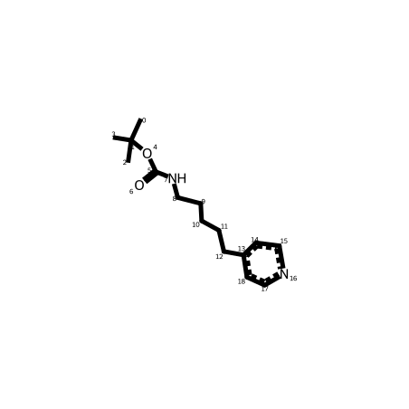 CC(C)(C)OC(=O)NCCCCCc1ccncc1